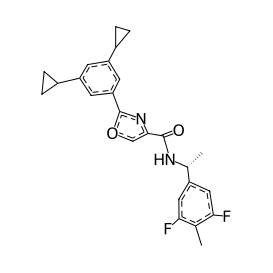 Cc1c(F)cc([C@@H](C)NC(=O)c2coc(-c3cc(C4CC4)cc(C4CC4)c3)n2)cc1F